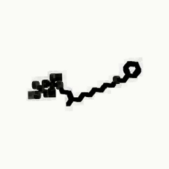 CC(=CCOP(=O)(O)OP(=O)(O)O)CCCCCCCOCc1ccccc1